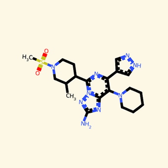 CC1CN(S(C)(=O)=O)CCC1c1nc(-c2cn[nH]c2)c(N2CCCCC2)c2nc(N)nn12